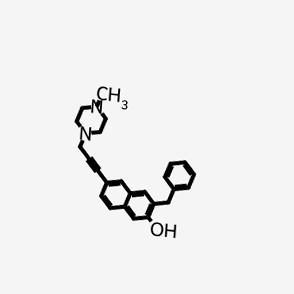 CN1CCN(CC#Cc2ccc3cc(O)c(Cc4ccccc4)cc3c2)CC1